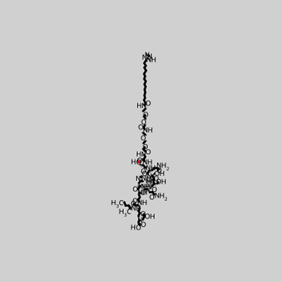 CCCC[C@@H](C)NC(=O)[C@H](CCCCN(CC(=O)O)CC(=O)O)NC(=O)CCNC(=O)[C@H](Cc1c[nH]cn1)NC(=O)[C@H](CCC(N)=O)NC(=O)[C@H](CO)NC(=O)[C@H](CO)NC(=O)[C@H](CCC(N)=O)NC(=O)[C@@H](CO)NC(=O)CNC(=O)COCCOCCNC(=O)COCCOCCNC(=O)CCCCCCCCCCCCCCCc1nnn[nH]1